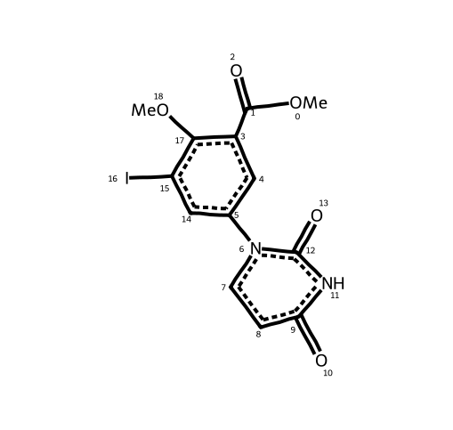 COC(=O)c1cc(-n2ccc(=O)[nH]c2=O)cc(I)c1OC